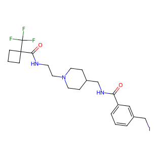 O=C(NCC1CCN(CCNC(=O)C2(C(F)(F)F)CCC2)CC1)c1cccc(CI)c1